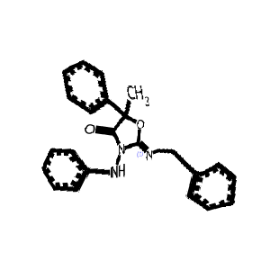 CC1(c2ccccc2)O/C(=N\Cc2ccccc2)N(Nc2ccccc2)C1=O